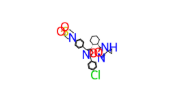 N#CC1(NC(=O)[C@@H]2CCCC[C@H]2c2oc(-c3ccc(Cl)cc3)nc2-c2ccc(N3CCS(=O)(=O)CC3)cc2)CC1